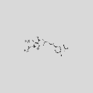 CCC(NOC)=C1C(=O)CC(CCSc2ccc(F)c(C(F)(F)F)c2)CC1=O